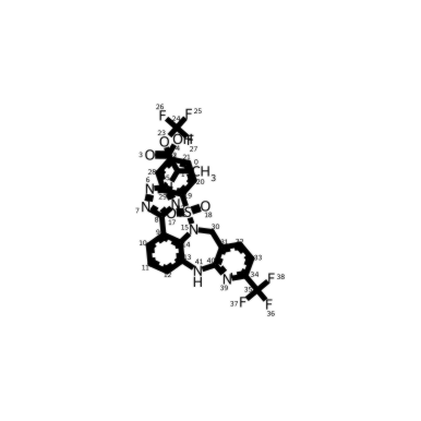 CC(C(=O)O)n1nnc(-c2cccc3c2N(S(=O)(=O)c2ccc(OC(F)(F)F)cc2)Cc2ccc(C(F)(F)F)nc2N3)n1